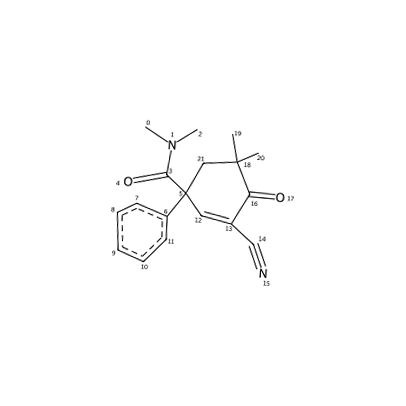 CN(C)C(=O)C1(c2ccccc2)C=C(C#N)C(=O)C(C)(C)C1